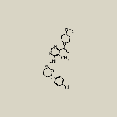 Cc1c(NC[C@H]2CCC[C@@H](c3ccc(Cl)cc3)O2)ncnc1C(=O)N1CCC(N)CC1